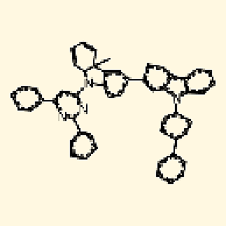 CC12C=CC=CC1N(c1cc(-c3ccccc3)nc(-c3ccccc3)n1)c1ccc(-c3ccc4c5ccccc5n(-c5ccc(-c6ccccc6)cc5)c4c3)cc12